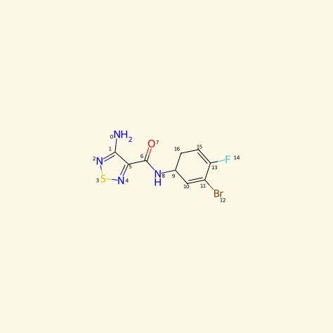 Nc1nsnc1C(=O)NC1C=C(Br)C(F)=CC1